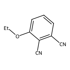 CCOc1cccc(C#N)c1C#N